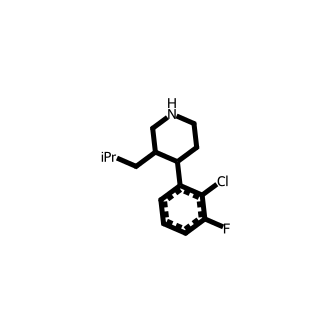 CC(C)CC1CNCCC1c1cccc(F)c1Cl